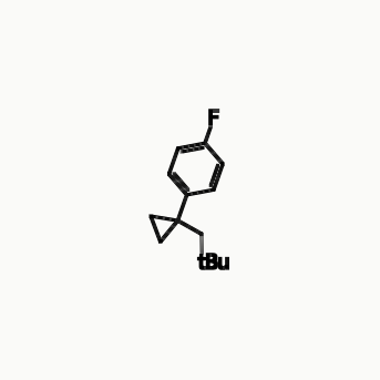 CC(C)(C)CC1(c2ccc(F)cc2)CC1